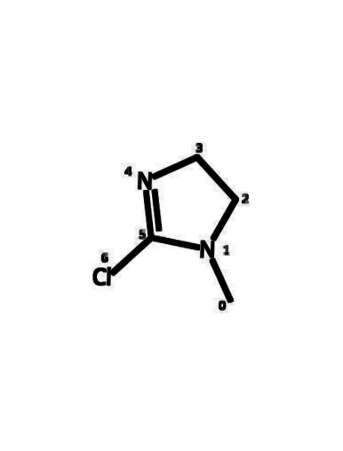 CN1CCN=C1Cl